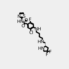 O=S(=O)(Nc1nccs1)c1cc(Cl)c(NCCCCNC[C@@H]2CC(F)(F)CN2)cc1F